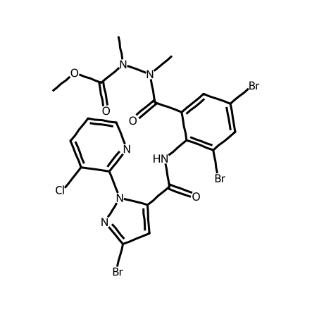 COC(=O)N(C)N(C)C(=O)c1cc(Br)cc(Br)c1NC(=O)c1cc(Br)nn1-c1ncccc1Cl